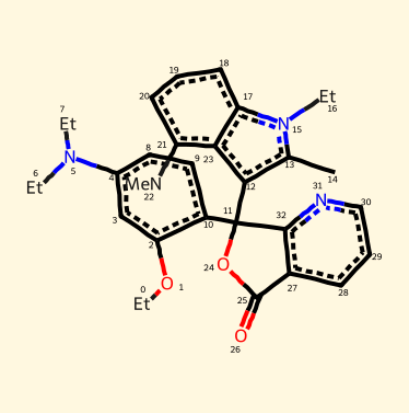 CCOc1cc(N(CC)CC)ccc1C1(c2c(C)n(CC)c3cccc(NC)c23)OC(=O)c2cccnc21